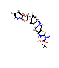 CC(C)(C)OC(=O)Nc1nc2c(s1)CN(Cc1ccc([C@H]3COc4cccnc4O3)cc1)CC2